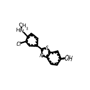 CNc1ccc(-c2nc3ccc(O)cc3s2)cc1Cl